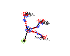 CO[C@@H]1OC(C(=O)NCCCc2cn(CCOCCOCCNC(=O)CCC(CCC(=O)NCCOCCOCCn3cc(CCCNC(=O)C4C[C@@H](OC)[C@H](NC(C)=O)[C@@H](O)[C@H]4O)nn3)(CCC(=O)NCCOCCOCCn3cc(CCCNC(=O)C4O[C@@H](OC)[C@H](NC(C)=O)[C@@H](O)[C@H]4O)nn3)NC(=O)CCCCCCCCCCC(=O)Oc3c(F)c(F)c(F)c(F)c3F)nn2)[C@H](O)[C@H](O)[C@H]1NC(C)=O